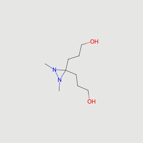 CN1N(C)C1(CCCO)CCCO